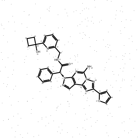 Nc1nc2c(cnn2[C@H](C(=O)NCc2cccc(C3(O)CCC3)n2)c2ccccc2)c2nc(-c3ccco3)nn12